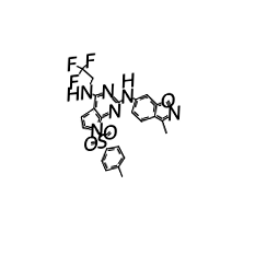 Cc1ccc(S(=O)(=O)n2ccc3c(NCC(F)(F)F)nc(Nc4ccc5c(C)noc5c4)nc32)cc1